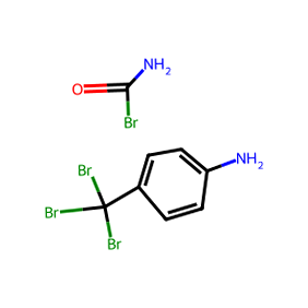 NC(=O)Br.Nc1ccc(C(Br)(Br)Br)cc1